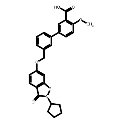 COc1ccc(-c2cccc(COc3ccc4c(=O)n(C5CCCC5)sc4c3)c2)cc1C(=O)O